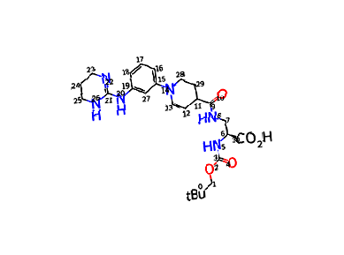 CC(C)(C)COC(=O)N[C@@H](CNC(=O)C1CCN(c2cccc(NC3=NCCCN3)c2)CC1)C(=O)O